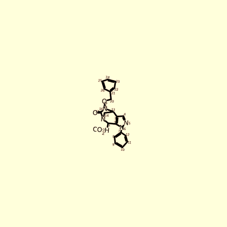 O=C(O)C1c2c(cnn2-c2ccccc2)C2CN1C(=O)N2OCc1ccccc1